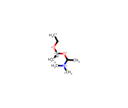 CCO[SiH](C)OC(C)N(C)C